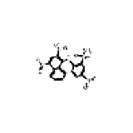 CS(=O)(=O)c1cc([N+](=O)[O-])ccc1Nc1c([N+](=O)[O-])cc([N+](=O)[O-])c2ccccc12